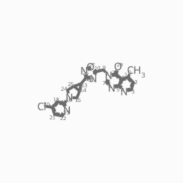 Cc1ccnc2ncn(Cc3nc(C4C5CN(c6cc(Cl)ccn6)CC54)no3)c(=O)c12